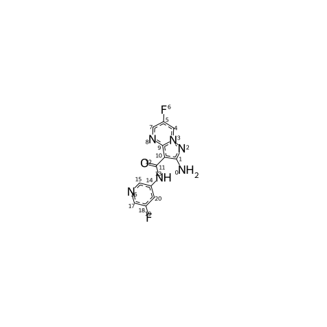 Nc1nn2cc(F)cnc2c1C(=O)Nc1cncc(F)c1